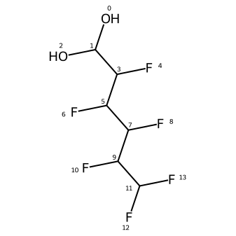 OC(O)C(F)C(F)C(F)C(F)C(F)F